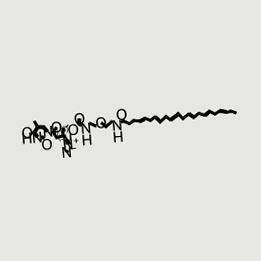 CCC=CCC=CCC=CCC=CCC=CCC=CCCC(=O)NCCOCCNC(=O)OC[C@H]1O[C@H](n2cc(C)c(=O)[nH]c2=O)C[C@@H]1N=[N+]=[N-]